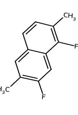 Cc1cc2ccc(C)c(F)c2cc1F